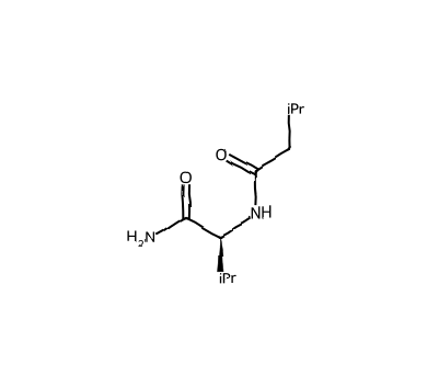 CC(C)CC(=O)N[C@H](C(N)=O)C(C)C